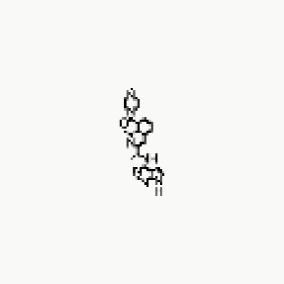 Cc1nc([C@H](C)Nc2ncnc3[nH]ccc23)cc2cccc(C(=O)N3CCN(C)CC3)c12